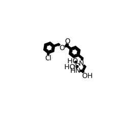 O=C(OCc1cccc(Cl)c1)c1ccc(CN2CC(O)NS2(O)O)cc1